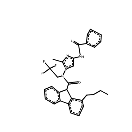 CCCCc1cccc2c1C(C(=O)N(CC(F)(F)F)n1cc(NC(=O)c3ccccc3)nc1C)c1ccccc1-2